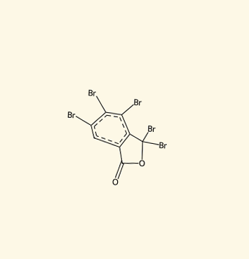 O=C1OC(Br)(Br)c2c1cc(Br)c(Br)c2Br